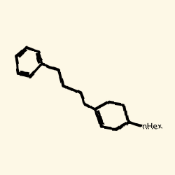 CCCCCCC1CC=C(CCCCc2ccccc2)CC1